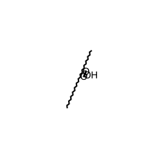 CCCCCCCCCCCCCCCCC(CCCCCCCCCC)S(=O)(=O)O